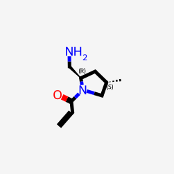 C=CC(=O)N1C[C@@H](C)C[C@@H]1CN